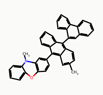 Cc1ccc2c(-c3cc4ccccc4c4ccccc34)c3ccccc3c(-c3ccc4c(c3)N(C)c3ccccc3O4)c2c1